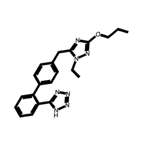 CCCOc1nc(Cc2ccc(-c3ccccc3-c3nnn[nH]3)cc2)n(CC)n1